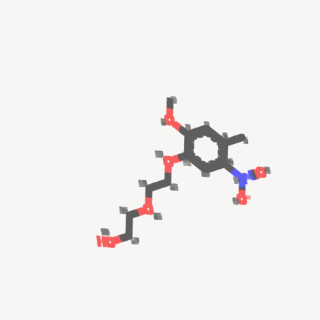 COc1cc(C)c([N+](=O)[O-])cc1OCCOCCO